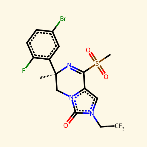 C[C@@]1(c2cc(Br)ccc2F)Cn2c(cn(CC(F)(F)F)c2=O)C(S(C)(=O)=O)=N1